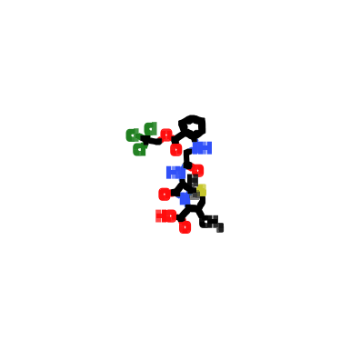 CC1=C(C(=O)O)N2C(=O)C(NC(=O)CNc3ccccc3C(=O)OCC(Cl)(Cl)Cl)[C@H]2SC1